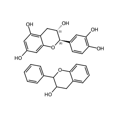 OC1Cc2ccccc2OC1c1ccccc1.Oc1cc(O)c2c(c1)O[C@H](c1ccc(O)c(O)c1)[C@@H](O)C2